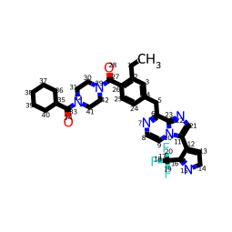 CCc1cc(Cc2nccn3c(C4=CCN=C4C(F)(F)F)cnc23)ccc1C(=O)N1CCN(C(=O)C2CCCCC2)CC1